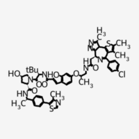 CC1=NN=C2C1c1sc(C)c(C)c1C(c1ccc(Cl)cc1)=N[C@H]2CC(=O)NC[C@@H](C)Oc1ccc2cc(C(=O)N[C@H](C(=O)N3C[C@H](O)C[C@H]3C(=O)N[C@@H](C)c3ccc(-c4scnc4C)cc3)C(C)(C)C)oc2c1